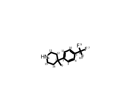 CC1(c2ccc(C(F)(F)F)cc2)CCNCC1